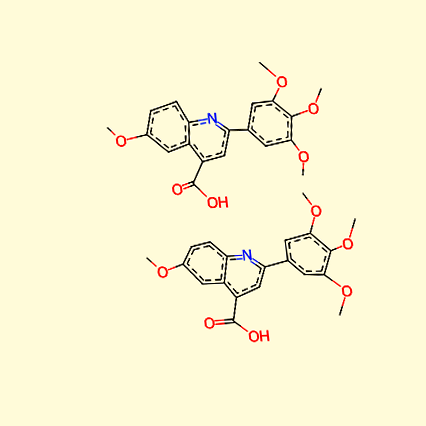 COc1ccc2nc(-c3cc(OC)c(OC)c(OC)c3)cc(C(=O)O)c2c1.COc1ccc2nc(-c3cc(OC)c(OC)c(OC)c3)cc(C(=O)O)c2c1